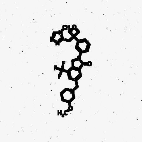 COC1CCCN(Cc2cc3c(c(C(F)(F)F)c2)CN(c2cccc(C4(Cc5nncn5C)COC4)c2)C3=O)C1